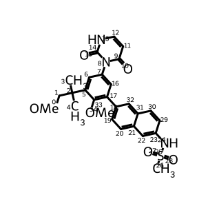 COCC(C)(C)c1cc(-n2c(=O)cc[nH]c2=O)cc(-c2ccc3cc(NS(C)(=O)=O)ccc3c2)c1OC